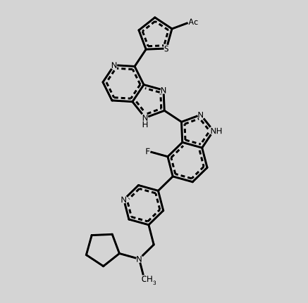 CC(=O)c1ccc(-c2nccc3[nH]c(-c4n[nH]c5ccc(-c6cncc(CN(C)C7CCCC7)c6)c(F)c45)nc23)s1